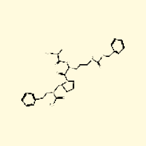 CN[C@@H](C)C(=O)N[C@@H](CCCNC(=O)OCc1ccccc1)C(=O)N1CCC[C@H]1CN(CCc1ccccc1)C(=O)C(F)(F)F